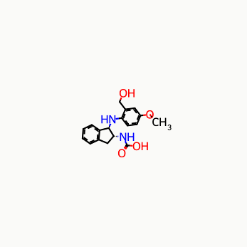 COc1ccc(N[C@@H]2c3ccccc3C[C@H]2NC(=O)O)c(CO)c1